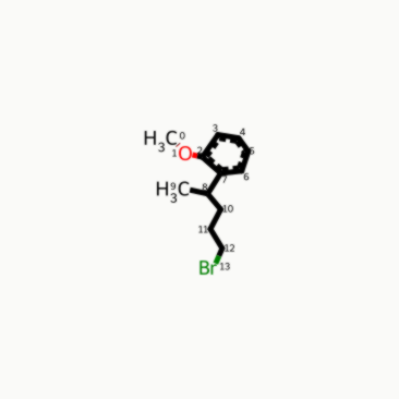 COc1ccccc1C(C)CCCBr